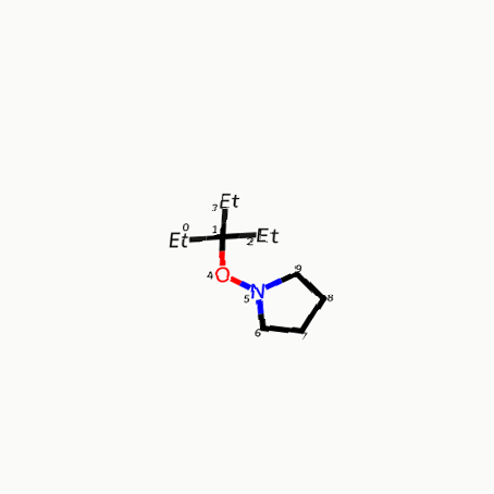 CCC(CC)(CC)ON1CCCC1